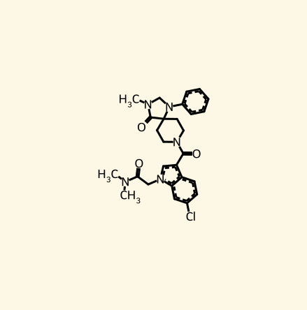 CN(C)C(=O)Cn1cc(C(=O)N2CCC3(CC2)C(=O)N(C)CN3c2ccccc2)c2ccc(Cl)cc21